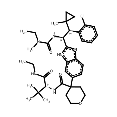 CCNC(=O)[C@H](NC(=O)C1(c2ccc3nc([C@@H](NC(=O)N(C)CC)[C@H](c4ccccc4Cl)C4(C)CC4)[nH]c3c2)CCOCC1)C(C)(C)C